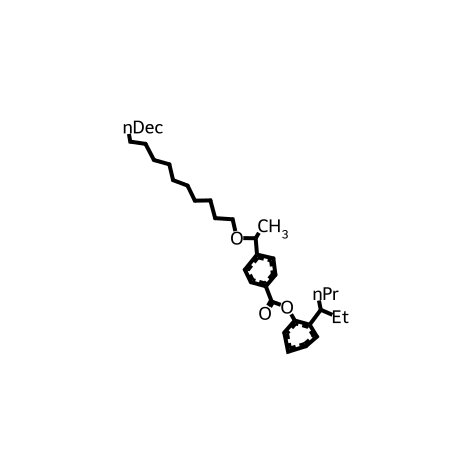 CCCCCCCCCCCCCCCCCCCCOC(C)c1ccc(C(=O)Oc2ccccc2C(CC)CCC)cc1